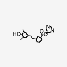 Cc1cc(CCc2cccc(C(=O)Oc3cncnc3)c2)cc(C)c1O